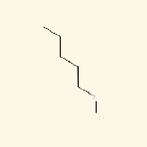 CCCCCNO